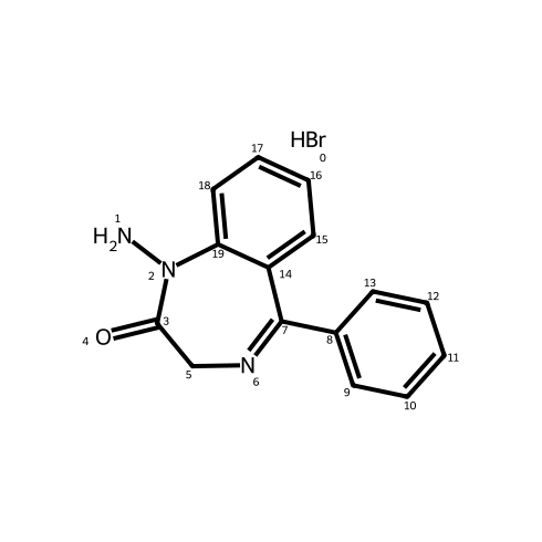 Br.NN1C(=O)CN=C(c2ccccc2)c2ccccc21